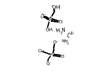 N.N.O=P([O-])(O)O.O=P([O-])([O-])[O-].[C+4]